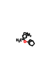 C=C[Si](C)(C=C)OC1=CC2CCC1C2